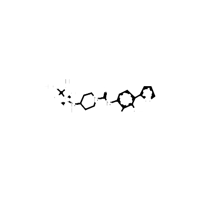 Cc1c(NC(=O)N2CCC(NS(=O)(=O)C(C)(C)C)CC2)ccc(-c2ccco2)c1C